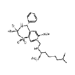 CCCC[C@]1(CC)CS(=O)(=O)c2cc(CN[C@@H](CCCCN(C)C)C(=O)O)c(OC)cc2[C@@H](c2ccccc2)N1